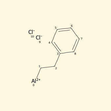 [Al+2][CH2]Cc1ccccc1.[Cl-].[Cl-]